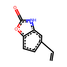 C=Cc1ccc2oc(=O)[nH]c2c1